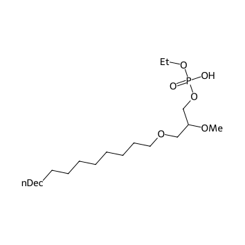 CCCCCCCCCCCCCCCCCCOCC(COP(=O)(O)OCC)OC